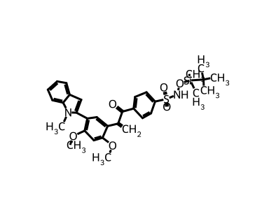 C=C(C(=O)c1ccc(S(=O)(=O)NO[Si](C)(C)C(C)(C)C)cc1)c1cc(-c2cc3ccccc3n2C)c(OC)cc1OC